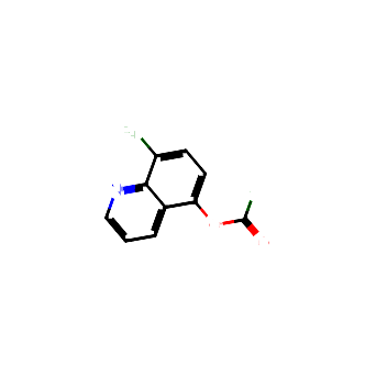 O=C(Cl)Oc1ccc(Br)c2ncccc12